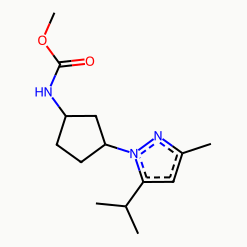 COC(=O)NC1CCC(n2nc(C)cc2C(C)C)C1